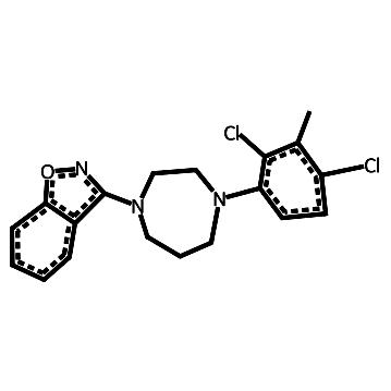 Cc1c(Cl)ccc(N2CCCN(c3noc4ccccc34)CC2)c1Cl